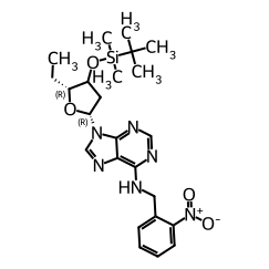 CC[C@H]1O[C@@H](n2cnc3c(NCc4ccccc4[N+](=O)[O-])ncnc32)CC1O[Si](C)(C)C(C)(C)C